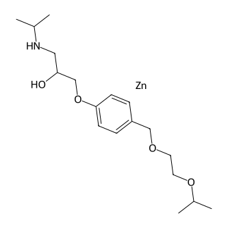 CC(C)NCC(O)COc1ccc(COCCOC(C)C)cc1.[Zn]